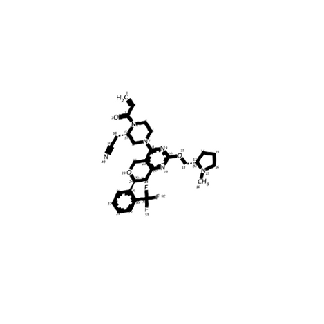 C=CC(=O)N1CCN(c2nc(OC[C@@H]3CCCN3C)nc3c2CO[C@H](c2ccccc2C(F)(F)F)C3)C[C@@H]1CC#N